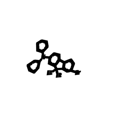 CCC1(CC)c2cc(Br)ccc2-c2ccc(N(c3ccccc3)c3ccccc3)cc21